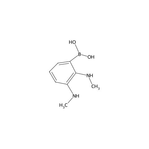 CNc1cccc(B(O)O)c1NC